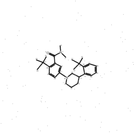 CN(C)C(=O)c1cc(N2CCCC(c3ccccc3C(C)(C)C)C2)ccc1C(C)(C)C